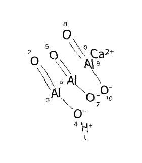 [Ca+2].[H+].[O]=[Al][O-].[O]=[Al][O-].[O]=[Al][O-]